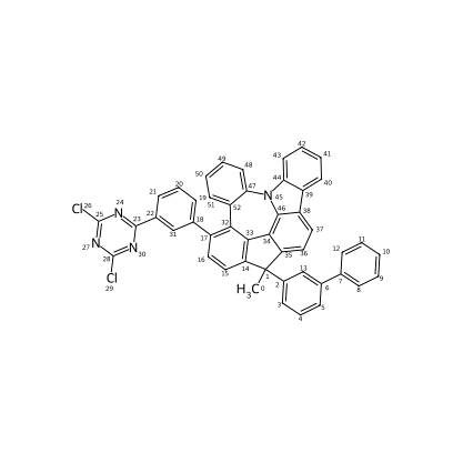 CC1(c2cccc(-c3ccccc3)c2)c2ccc(-c3cccc(-c4nc(Cl)nc(Cl)n4)c3)c3c2-c2c1ccc1c4ccccc4n(c21)-c1ccccc1-3